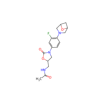 CC(=O)NCC1CN(c2ccc(N3CC4CC(C3)O4)c(F)c2)C(=O)O1